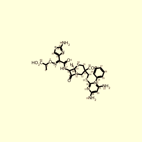 CC(ON=C(C(=O)NC1C(=O)N2CC(CSc3nc(N)cc(N)[n+]3-c3ccccc3)(C(=O)[O-])CS[C@H]12)c1csc(N)n1)C(=O)O